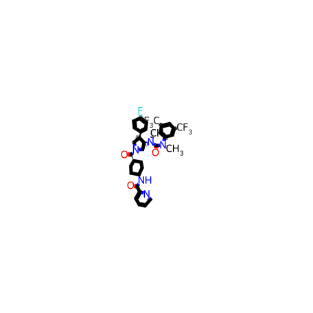 CN(C(=O)N(C)[C@@H]1CN(C(=O)[C@H]2CC[C@H](NC(=O)c3ccccn3)CC2)C[C@H]1c1ccc(F)cc1)c1cc(C(F)(F)F)cc(C(F)(F)F)c1